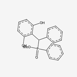 COP(=O)(c1ccccc1)C(c1ccccc1)c1c(O)cccc1O